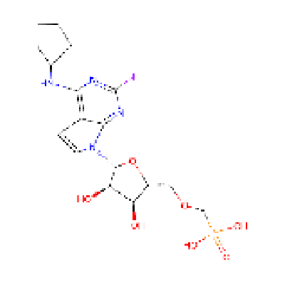 O=P(O)(O)COC[C@H]1O[C@@H](n2ccc3c(NC4CCCC4)nc(I)nc32)[C@H](O)[C@@H]1O